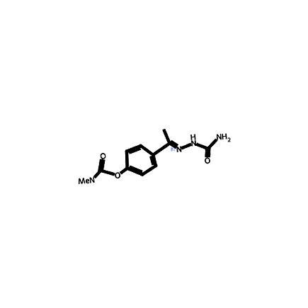 CNC(=O)Oc1ccc(/C(C)=N/NC(N)=O)cc1